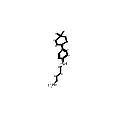 CC1(C)CCC(c2ccc(NCCCCN)cc2)CC1